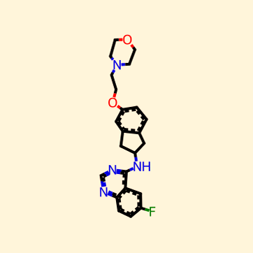 Fc1ccc2ncnc(NC3Cc4ccc(OCCN5CCOCC5)cc4C3)c2c1